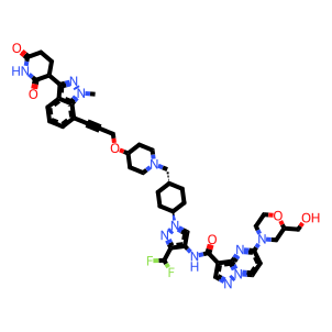 Cn1nc(C2CCC(=O)NC2=O)c2cccc(C#CCOC3CCN(C[C@H]4CC[C@H](n5cc(NC(=O)c6cnn7ccc(N8CCOC(CO)C8)nc67)c(C(F)F)n5)CC4)CC3)c21